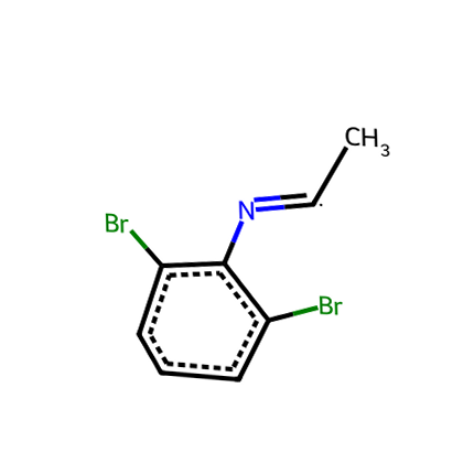 C[C]=Nc1c(Br)cccc1Br